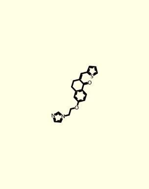 O=C1/C(=C\c2cccs2)CCc2cc(OCCn3ccnc3)ccc21